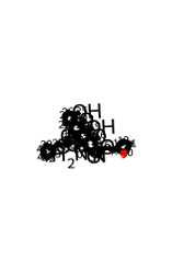 N[C@@H]1c2onc(OCc3ccccc3)c2C(=O)C2C(O)=C3C(=O)c4c(O)cccc4C[C@H]3[C@H](OC(=O)OCc3ccccc3)[C@H]21